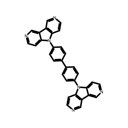 c1cc2c(cn1)c1cnccc1n2-c1ccc(-c2ccc(-n3c4ccncc4c4cnccc43)cc2)cc1